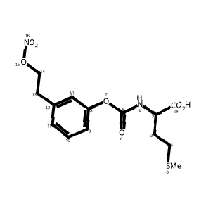 CSCCC(NC(=O)Oc1cccc(CCO[N+](=O)[O-])c1)C(=O)O